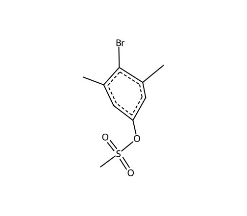 Cc1cc(OS(C)(=O)=O)cc(C)c1Br